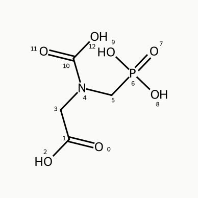 O=C(O)CN(CP(=O)(O)O)C(=O)O